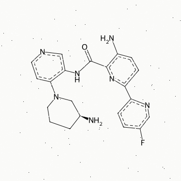 Nc1ccc(-c2ccc(F)cn2)nc1C(=O)Nc1cnccc1N1CCC[C@H](N)C1